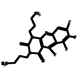 CCCCn1c(=O)c2c(F)c3c(F)c(F)c(F)cc3nc2n(CCCC)c1=O